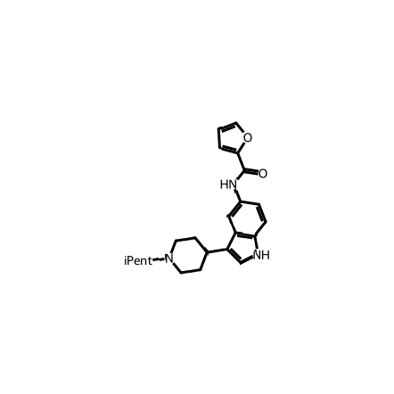 CCCC(C)N1CCC(c2c[nH]c3ccc(NC(=O)c4ccco4)cc23)CC1